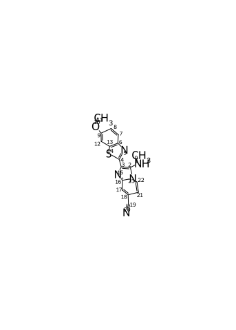 CNc1c(-c2nc3ccc(OC)cc3s2)nc2cc(C#N)ccn12